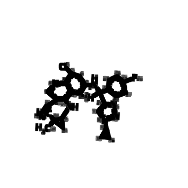 [2H]C(Nc1cc(Cl)c2ncc(C#N)c(NC3CC3(C)C)c2c1)(c1ccc(F)cc1)c1cn(C2CC2)nn1